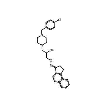 OC(CO/N=C1\CCc2c1ccc1ccccc21)CN1CCN(Cc2ccc(Cl)cc2)CC1